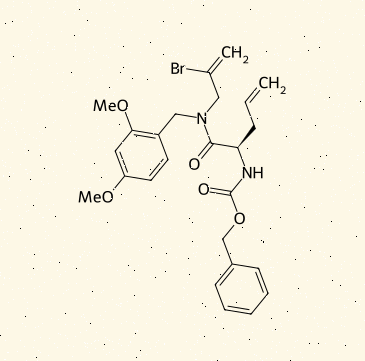 C=CC[C@@H](NC(=O)OCc1ccccc1)C(=O)N(CC(=C)Br)Cc1ccc(OC)cc1OC